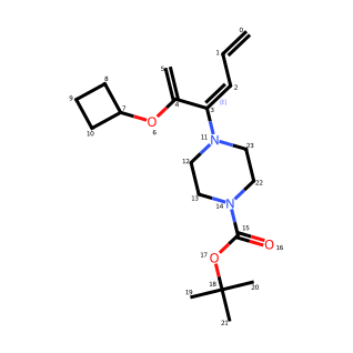 C=C/C=C(\C(=C)OC1CCC1)N1CCN(C(=O)OC(C)(C)C)CC1